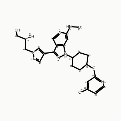 CCNc1cc2c(cn1)c(-c1cnn(C[C@@H](O)CO)c1)nn2C1CCC(Oc2cc(Cl)ccn2)CC1